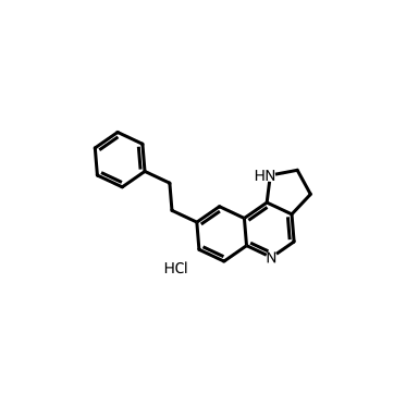 Cl.c1ccc(CCc2ccc3ncc4c(c3c2)NCC4)cc1